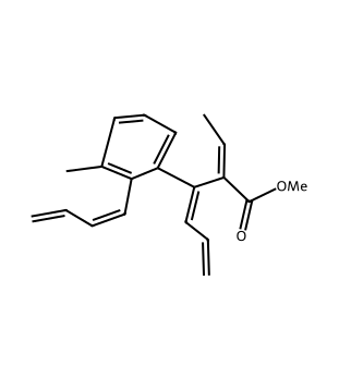 C=C/C=C\c1c(C)cccc1C(=C/C=C)/C(=C\C)C(=O)OC